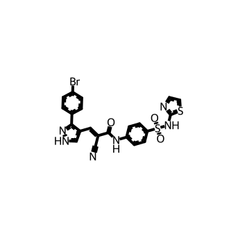 N#C/C(=C\c1c[nH]nc1-c1ccc(Br)cc1)C(=O)Nc1ccc(S(=O)(=O)Nc2nccs2)cc1